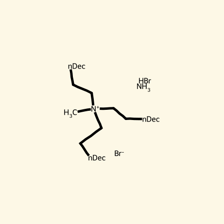 Br.CCCCCCCCCCCC[N+](C)(CCCCCCCCCCCC)CCCCCCCCCCCC.N.[Br-]